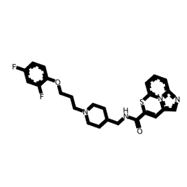 O=C(NCC1CCN(CCCOc2ccc(F)cc2F)CC1)C1=Cc2cnc3cccc(n23)S1